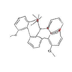 COc1cccc(OC)c1-c1cccc(-c2c(OC)cccc2OC)c1P(c1ccccc1)C(C)(C)C